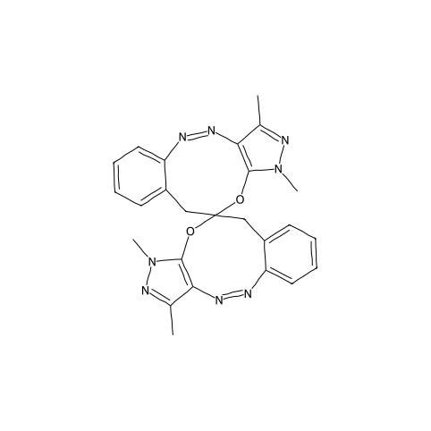 Cc1nn(C)c2c1N=Nc1ccccc1CC1(Cc3ccccc3N=Nc3c(C)nn(C)c3O1)O2